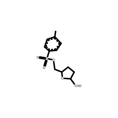 Cc1ccc(S(=O)(=O)OCC2CCC(C=O)O2)cc1